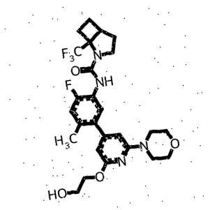 Cc1cc(F)c(NC(=O)N2CCC3CCC32C(F)(F)F)cc1-c1cc(OCCO)nc(N2CCOCC2)c1